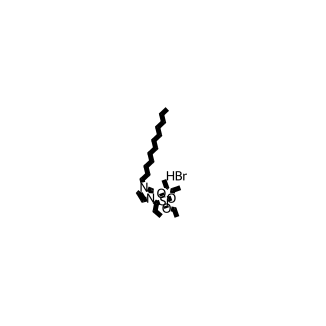 Br.CCCCCCCCCCCCN1C=CN(C(CC)[Si](OCC)(OCC)OCC)C1